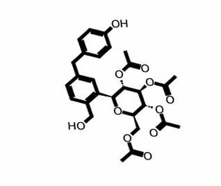 CC(=O)OC[C@H]1O[C@@H](c2cc(Cc3ccc(O)cc3)ccc2CO)[C@H](OC(C)=O)[C@@H](OC(C)=O)[C@@H]1OC(C)=O